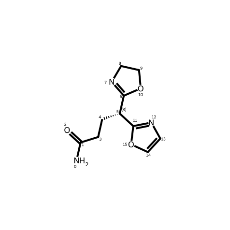 NC(=O)CC[C@H](C1=NCCO1)c1ncco1